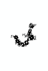 CCc1cccc(-c2cc(F)c(C(=O)N3CCC(OC4CCN(CC[C@H](NC(=O)C5(N)CCN(c6ncnc7[nH]ccc67)CC5)c5ccc(Cl)cc5)CC4)CC3)c(F)c2)c1